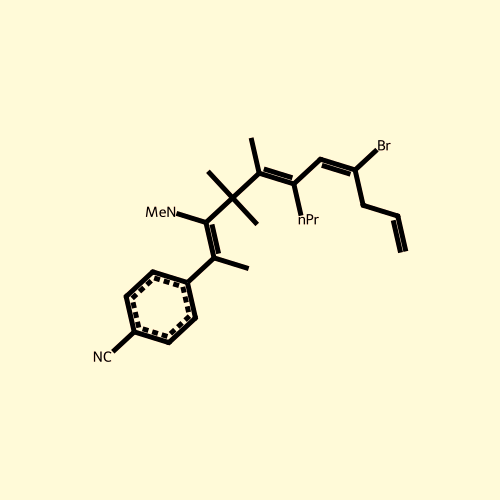 C=CC/C(Br)=C\C(CCC)=C(/C)C(C)(C)/C(NC)=C(\C)c1ccc(C#N)cc1